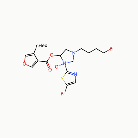 CCCCCCc1cocc1C(=O)OC1CN(CCCCBr)C[N+]1([O-])c1ncc(Br)s1